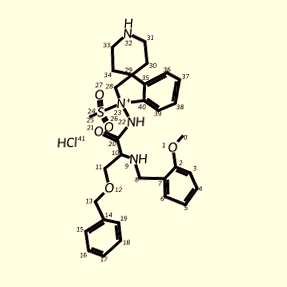 COc1ccccc1CNC(COCc1ccccc1)C(=O)N[N+]1(S(C)(=O)=O)CC2(CCNCC2)c2ccccc21.Cl